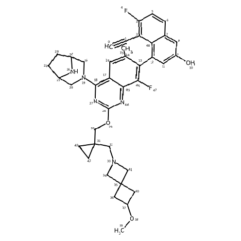 C#Cc1c(F)ccc2cc(O)cc(-c3c(C)cc4c(N5CC6CCC(C5)N6)nc(OCC5(CN6CC7(CC(OC)C7)C6)CC5)nc4c3F)c12